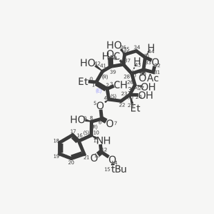 CC/C1=C(/C)[C@@H](OC(=O)[C@H](O)[C@@H](NC(=O)OC(C)(C)C)c2ccccc2)C[C@](O)(CC)[C@@H](O)[C@@H]2[C@]3(OC(C)=O)CO[C@@H]3C[C@H](O)[C@@]2(C)C(=O)[C@@H]1O